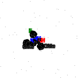 COc1cccc(C2CCC(C(O)c3cccc(OC)c3)C(Nc3ccc(F)cc3)=N2)c1